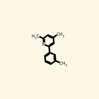 Cc1cccc(-c2cc(C)cc(C)n2)c1